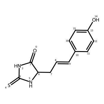 O=C1NC(=S)NC1CC=Cc1ccc(O)cc1